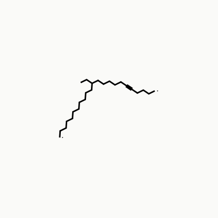 [CH2]CCCC#CCCCCCC(CC)CCCCCCCCCC[CH2]